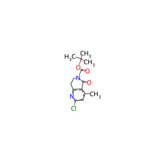 Cc1cc(Cl)nc2c1C(=O)N(C(=O)OC(C)(C)C)CC2